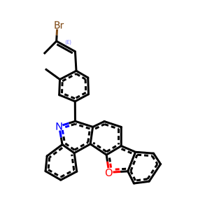 C/C(Br)=C\c1ccc(-c2nc3ccccc3c3c2ccc2c4ccccc4oc23)cc1C